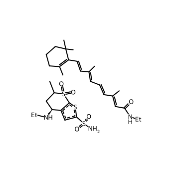 CCNC(=O)/C=C(C)/C=C/C=C(C)/C=C/C1=C(C)CCCC1(C)C.CCN[C@H]1CC(C)S(=O)(=O)c2sc(S(N)(=O)=O)cc21